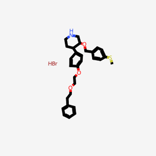 Br.CSc1ccc(COC2CNCCC2c2ccc(OCCOCCc3ccccc3)cc2)cc1